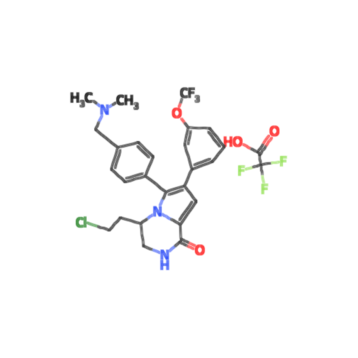 CN(C)Cc1ccc(-c2c(-c3cccc(OC(F)(F)F)c3)cc3n2C(CCCl)CNC3=O)cc1.O=C(O)C(F)(F)F